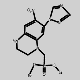 CCOP(=O)(CN1CCNc2cc([N+](=O)[O-])c(-n3cncn3)cc21)OCC